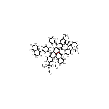 Cc1cc2c3c(c1)N1c4c(cccc4C4(C)CCCCC14C)B3c1ccc(N(c3cccc(-c4cccc5ccccc45)c3)c3ccc(C(C)(C)C)cc3-c3cccc4ccccc34)cc1N2c1ccccc1